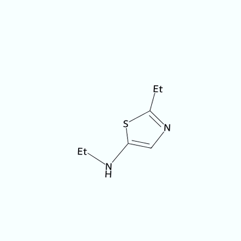 CCNc1cnc(CC)s1